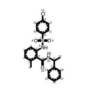 Cc1cccc(NS(=O)(=O)c2ccc(Cl)cc2)c1C(=O)NC(C)c1ccccc1